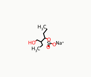 CCCC(O[Si](=O)[O-])C(CC)CO.[Na+]